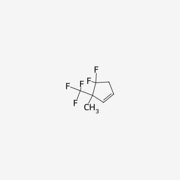 CC1(C(F)(F)F)C=CCC1(F)F